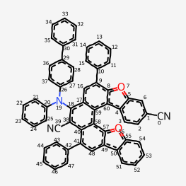 N#Cc1ccc2c(c1)oc1c(-c3ccccc3)cc3c(N(c4ccccc4)c4ccc(-c5ccccc5)cc4)c(C#N)c4c(-c5ccccc5)cc5c6ccccc6oc5c4c3c12